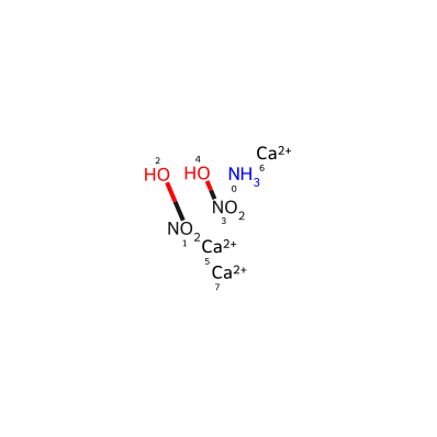 N.O=[N+]([O-])O.O=[N+]([O-])O.[Ca+2].[Ca+2].[Ca+2]